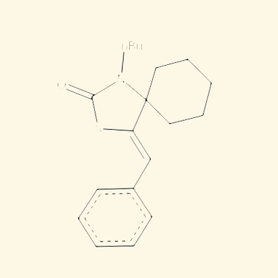 CCCCN1C(=O)S/C(=C\c2ccccc2)C12CCCCC2